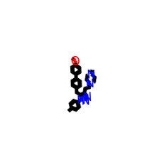 COc1ccc(-c2ccc(Cc3c(CCN4CCN(C)CC4)nnn3-c3ccc(C)cc3)cc2)cc1